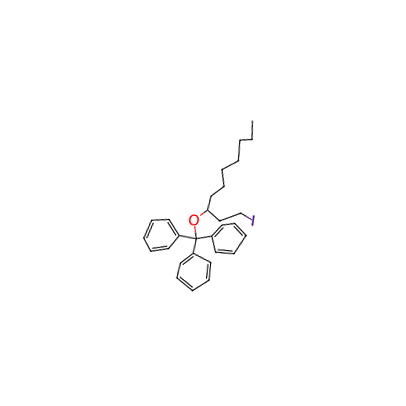 CCCCCCCC(CCI)OC(c1ccccc1)(c1ccccc1)c1ccccc1